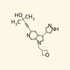 CC(C)(O)C#Cc1cc2c(-c3cn[nH]c3)cn(CC3COC3)c2cn1